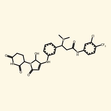 CN(C)C(CC(=O)Nc1ccc(C(F)(F)F)c(Cl)c1)c1cccc(NC2=CC(=O)N(C3CCC(=O)NC3=O)C2O)c1